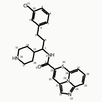 O=C(NC(CCc1cccc(Cl)c1)C1CCNCC1)C1=Cc2cnc3cccc(n23)S1